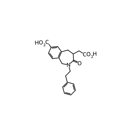 O=C(O)CC1Cc2cc(C(=O)O)ccc2CN(CCc2ccccc2)C1=O